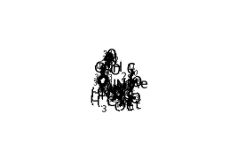 CCN(C(=O)OCOC(=O)CCC(=O)O)C(=O)c1cn(NC)c(C(=N)Nc2cc(C(=O)Nc3ccon3)ccc2C)c1C